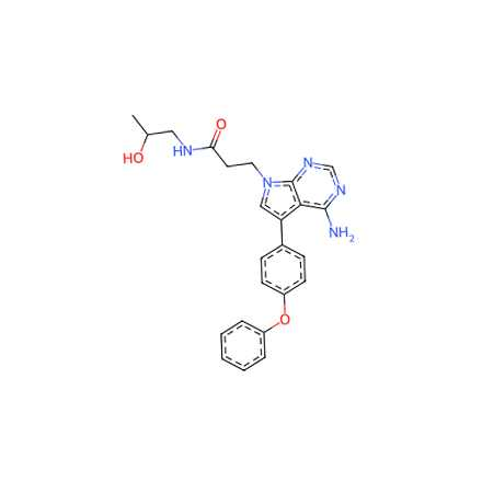 CC(O)CNC(=O)CCn1cc(-c2ccc(Oc3ccccc3)cc2)c2c(N)ncnc21